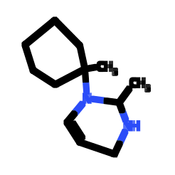 CC1NCC=CN1C1(C)CCCCC1